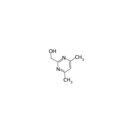 Cc1cc(C)nc(CO)n1